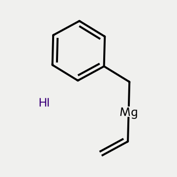 C=[CH][Mg][CH2]c1ccccc1.I